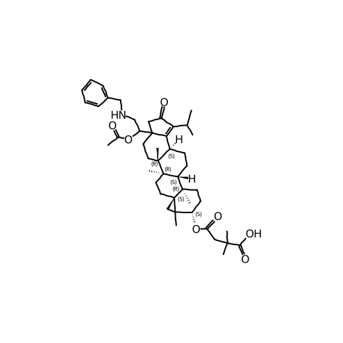 CC(=O)OC(CNCc1ccccc1)C12CC[C@]3(C)[C@H](CC[C@@H]4[C@@]5(C)CC[C@H](OC(=O)CC(C)(C)C(=O)O)C6(C)C[C@]65CC[C@]43C)C1=C(C(C)C)C(=O)C2